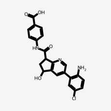 Nc1ccc(Cl)cc1-c1cnc2c(c1)C(O)CC2C(=O)Nc1ccc(C(=O)O)cc1